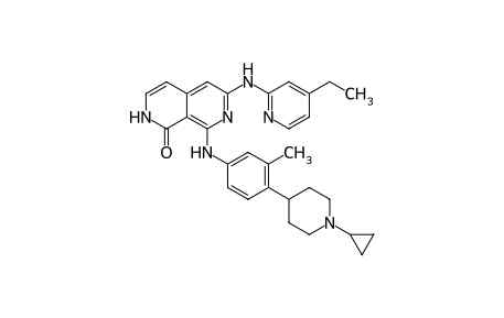 CCc1ccnc(Nc2cc3cc[nH]c(=O)c3c(Nc3ccc(C4CCN(C5CC5)CC4)c(C)c3)n2)c1